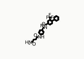 CNC(=O)CCC(=O)Nc1ccc(-c2noc(-c3ccc(-c4ccccc4)c(C(F)(F)F)c3)n2)cc1